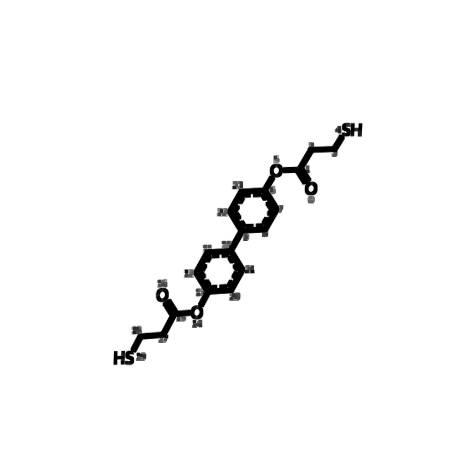 O=C(CCS)Oc1ccc(-c2ccc(OC(=O)CCS)cc2)cc1